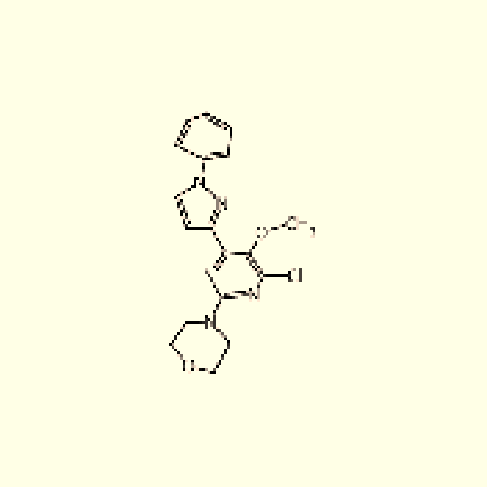 COc1c(Cl)nc(N2CCOCC2)nc1-c1ccn(-c2ccccc2)n1